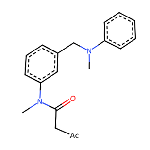 CC(=O)CC(=O)N(C)c1cccc(CN(C)c2ccccc2)c1